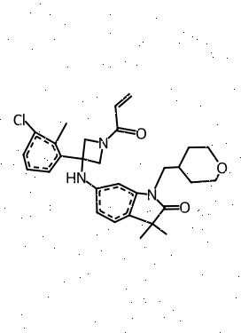 C=CC(=O)N1CC(Nc2ccc3c(c2)N(CC2CCOCC2)C(=O)C3(C)C)(c2cccc(Cl)c2C)C1